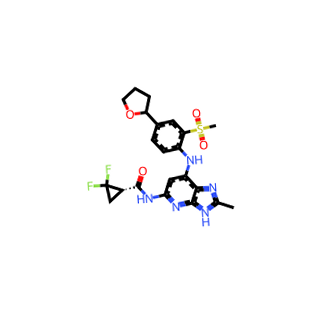 Cc1nc2c(Nc3ccc(C4CCCO4)cc3S(C)(=O)=O)cc(NC(=O)[C@@H]3CC3(F)F)nc2[nH]1